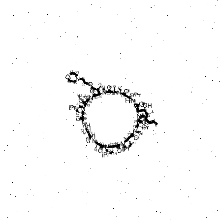 C/C=C/C[C@@H](C)[C@@H](O)[C@H]1C(=O)N[C@@H](CCC)C(=O)N(C)[C@H](C)C(=O)N(C)[C@@H]([C@H](C)COCCN2CCOCC2)C(=O)N[C@@H](C(C)C)C(=O)N(C)[C@@H](CC(C)C)C(=O)N[C@@H](C)C(=O)N[C@H](C)C(=O)N(C)[C@@H](CC(C)C)C(=O)N(C)[C@@H](CC(C)C)C(=O)N(C)[C@@H](C(C)C)C(=O)N1C